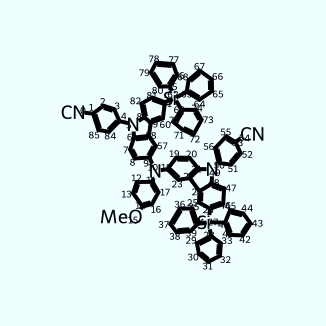 [C-]#[N+]c1ccc(-n2c3ccc(N(c4ccc(OC)cc4)c4ccc5c(c4)c4cc([Si](c6ccccc6)(c6ccccc6)c6ccccc6)ccc4n5-c4ccc(C#N)cc4)cc3c3cc([Si](c4ccccc4)(c4ccccc4)c4ccccc4)ccc32)cc1